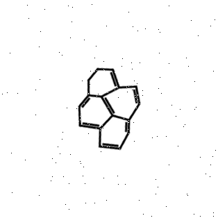 C1=c2ccc3cccc4ccc(c2c43)CC1